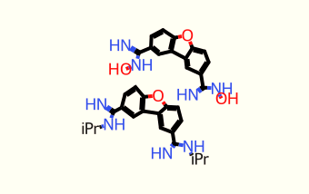 CC(C)NC(=N)c1ccc2oc3ccc(C(=N)NC(C)C)cc3c2c1.N=C(NO)c1ccc2oc3ccc(C(=N)NO)cc3c2c1